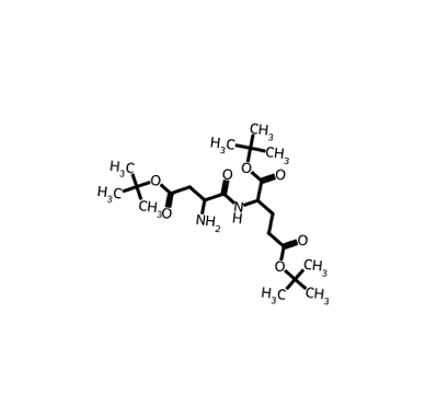 CC(C)(C)OC(=O)CCC(NC(=O)C(N)CC(=O)OC(C)(C)C)C(=O)OC(C)(C)C